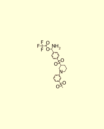 CS(=O)(=O)c1cccc(N2CCCC(S(=O)(=O)c3ccc(C(N)OC(=O)C(F)(F)F)cc3)C2)c1